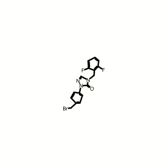 O=c1n(Cc2c(F)cccc2F)cnn1-c1ccc(CBr)cc1